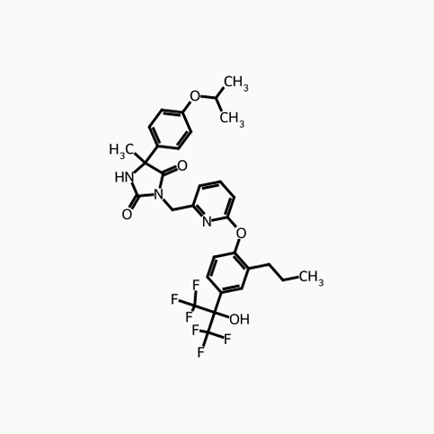 CCCc1cc(C(O)(C(F)(F)F)C(F)(F)F)ccc1Oc1cccc(CN2C(=O)NC(C)(c3ccc(OC(C)C)cc3)C2=O)n1